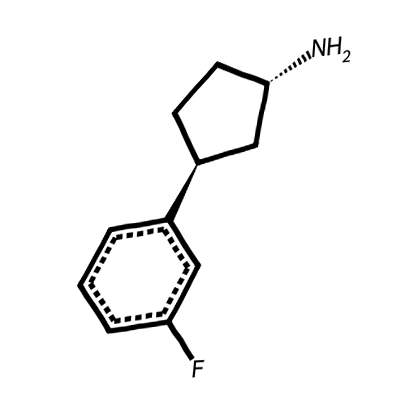 N[C@H]1CC[C@H](c2cccc(F)c2)C1